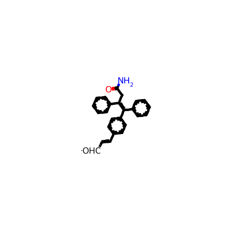 NC(=O)C/C(=C(\c1ccccc1)c1ccc(C=C[C]=O)cc1)c1ccccc1